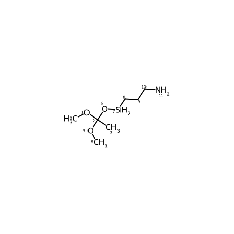 COC(C)(OC)O[SiH2]CCCN